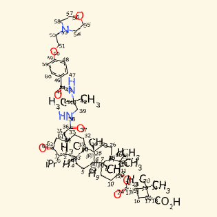 CC(C)C1=C2[C@H]3CC[C@@H]4[C@@]5(C)CC[C@H](OC(=O)[C@H]6C[C@@H](C(=O)O)C6(C)C)C(C)(C)[C@@H]5CC[C@@]4(C)[C@]3(C)CC[C@@]2(CC(=O)NCC(C)(C)NC(=O)c2ccc(OCCN3CCOCC3)cc2)CC1=O